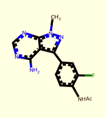 CC(=O)Nc1ccc(-c2nn(C)c3ncnc(N)c23)cc1F